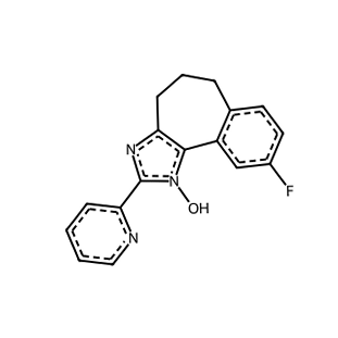 On1c(-c2ccccn2)nc2c1-c1cc(F)ccc1CCC2